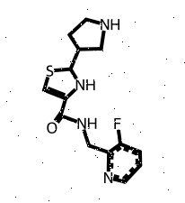 O=C(NCc1ncccc1F)C1=CSC(C2CCNC2)N1